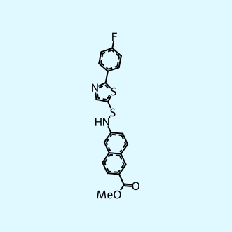 COC(=O)c1ccc2cc(NSc3cnc(-c4ccc(F)cc4)s3)ccc2c1